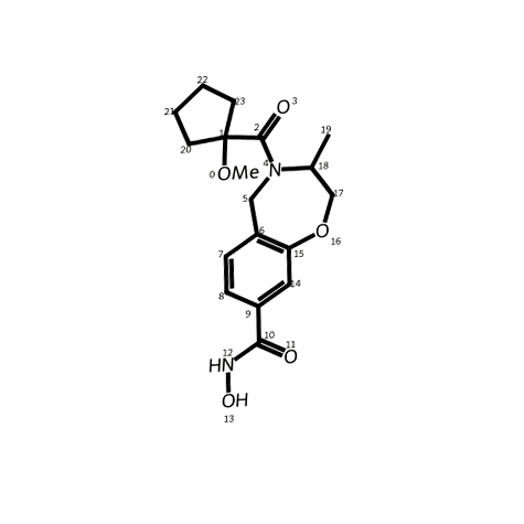 COC1(C(=O)N2Cc3ccc(C(=O)NO)cc3OCC2C)CCCC1